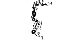 O=C(Nc1cnc(Oc2ccc(-c3cnc(NCCCO)s3)cc2)nc1)Nc1cccc(C(F)(F)F)c1